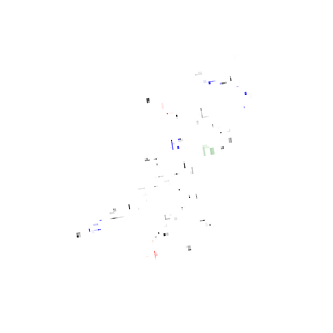 Cc1ncc(Br)c(C(=O)N2CC3(C=C(C#N)C(=O)C(C)(C)C3)C2)n1